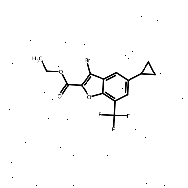 CCOC(=O)c1oc2c(C(F)(F)F)cc(C3CC3)cc2c1Br